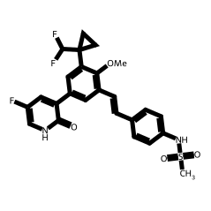 COc1c(C=Cc2ccc(NS(C)(=O)=O)cc2)cc(-c2cc(F)c[nH]c2=O)cc1C1(C(F)F)CC1